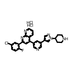 Cl.Cl.Fc1ccc(Cl)cc1-c1cc(-c2cncc(-c3cnn(C4CCNCC4)c3)c2)c2cccnc2n1